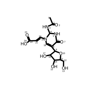 CC(=O)NC1NC(=O)C(C2OC(CO)C(O)C2O)=CN1/C=C/C(=O)O